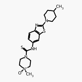 CC1CCN(c2nc3ccc(NC(=S)N4CC[N+](C)([O-])CC4)cc3s2)CC1